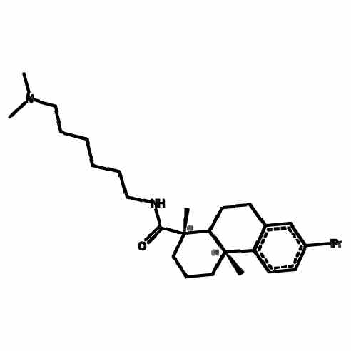 CC(C)c1ccc2c(c1)CCC1[C@@]2(C)CCC[C@]1(C)C(=O)NCCCCCCN(C)C